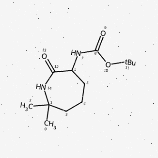 CC1(C)CCCC(NC(=O)OC(C)(C)C)C(=O)N1